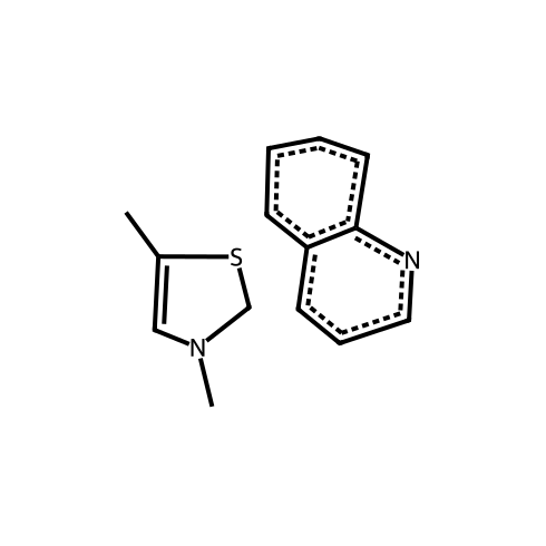 CC1=CN(C)CS1.c1ccc2ncccc2c1